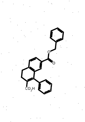 O=C(O)C1=C(c2ccccc2)c2cc(C(=O)OCc3ccccc3)ccc2CC1